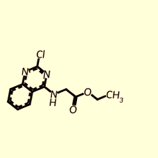 CCOC(=O)CNc1nc(Cl)nc2ccccc12